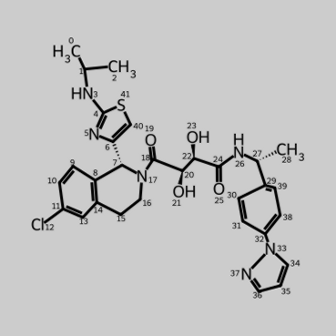 CC(C)Nc1nc([C@H]2c3ccc(Cl)cc3CCN2C(=O)[C@H](O)[C@@H](O)C(=O)N[C@H](C)c2ccc(-n3cccn3)cc2)cs1